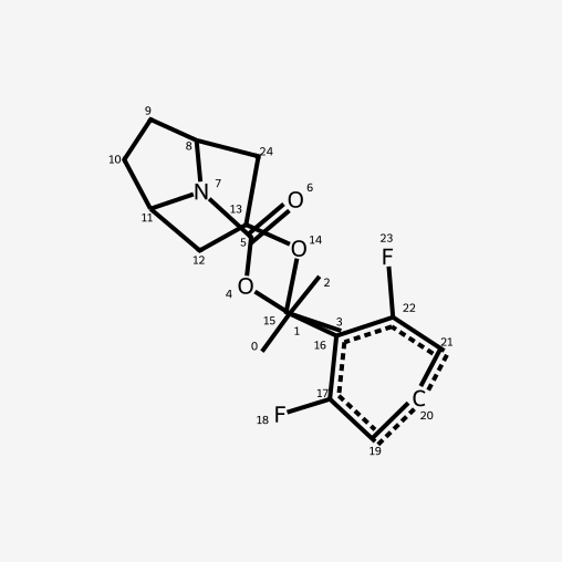 CC(C)(C)OC(=O)N1C2CCC1CC(OCc1c(F)cccc1F)C2